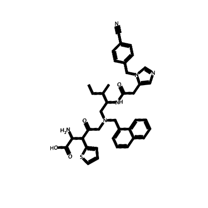 CCC(C)C(CN(CC(=O)C(c1cccs1)C(N)C(=O)O)Cc1cccc2ccccc12)NC(=O)Cc1cncn1Cc1ccc(C#N)cc1